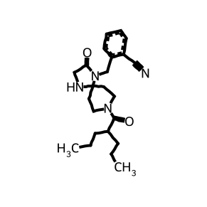 CCCC(CCC)C(=O)N1CCC2(CC1)NCC(=O)N2Cc1ccccc1C#N